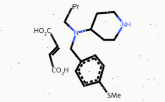 CSc1ccc(CN(CC(C)C)C2CCNCC2)cc1.O=C(O)/C=C/C(=O)O